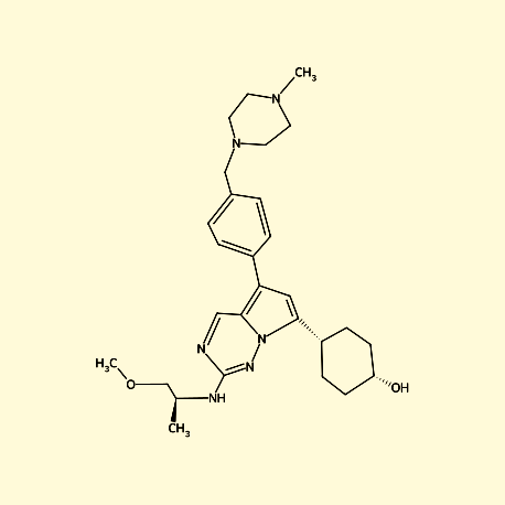 COC[C@H](C)Nc1ncc2c(-c3ccc(CN4CCN(C)CC4)cc3)cc([C@H]3CC[C@@H](O)CC3)n2n1